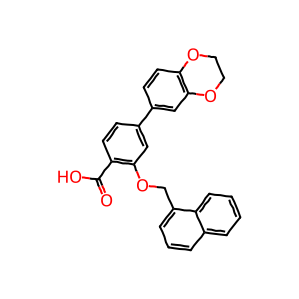 O=C(O)c1ccc(-c2ccc3c(c2)OCCO3)cc1OCc1cccc2ccccc12